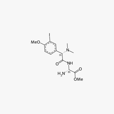 COC(=O)[C@H](N)NC(=O)[C@H](c1ccc(OC)c(I)c1)N(C)C